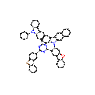 c1ccc(-n2c3ccccc3c3ccc(-c4nc(-c5ccc6sc7ccccc7c6c5)nc(-c5cc6c(cc5-n5c7ccccc7c7cc8ccccc8cc75)oc5ccccc56)n4)cc32)cc1